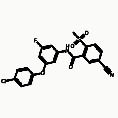 CS(=O)(=O)c1ccc(C#N)cc1C(=O)Nc1cc(F)cc(Oc2ccc(Cl)cc2)c1